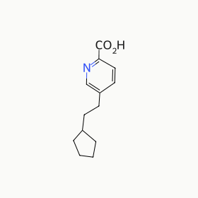 O=C(O)c1ccc(CCC2CCCC2)cn1